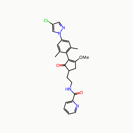 COC1=C(c2c(C)cc(-n3cc(Cl)cn3)cc2C)C(=O)C(CCNC(=O)c2ccccn2)C1